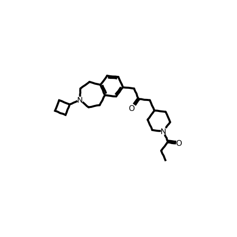 CCC(=O)N1CCC(CC(=O)Cc2ccc3c(c2)CCN(C2CCC2)CC3)CC1